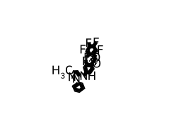 Cc1cc(Nc2ccc(S(=O)(=O)Oc3c(F)c(F)c(F)c(F)c3F)c(F)c2)n(-c2ccccc2)n1